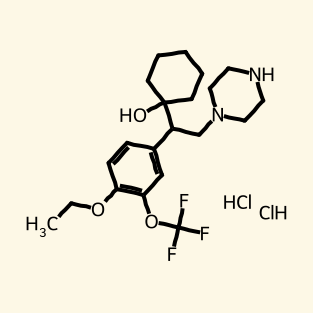 CCOc1ccc(C(CN2CCNCC2)C2(O)CCCCC2)cc1OC(F)(F)F.Cl.Cl